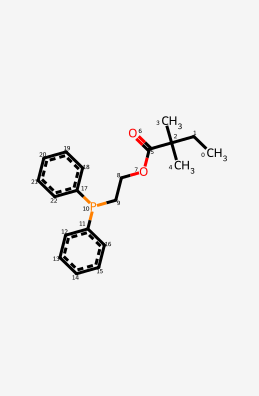 CCC(C)(C)C(=O)OCCP(c1ccccc1)c1ccccc1